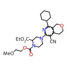 CCOC(=O)C1CN(c2nc(C3CCCCC3)c3c(c2C#N)CCOC3)CCN1C(=O)OCCOC